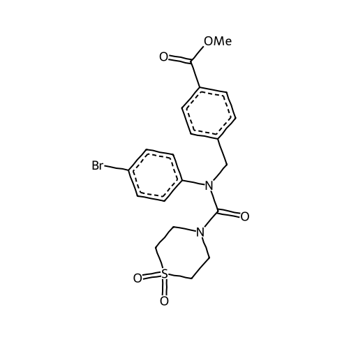 COC(=O)c1ccc(CN(C(=O)N2CCS(=O)(=O)CC2)c2ccc(Br)cc2)cc1